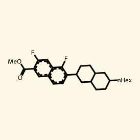 CCCCCCC1CCC2CC(c3ccc4cc(C(=O)OC)c(F)cc4c3F)CCC2C1